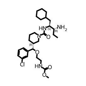 CC[C@@H](N)[C@H](CC1CCCCC1)NC(=O)N1CCC[C@@H](C(OCCNC(=O)OC)c2cccc(Cl)c2)C1